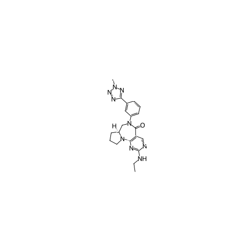 CCNc1ncc2c(n1)N1CCC[C@H]1CN(c1cccc(-c3nnn(C)n3)c1)C2=O